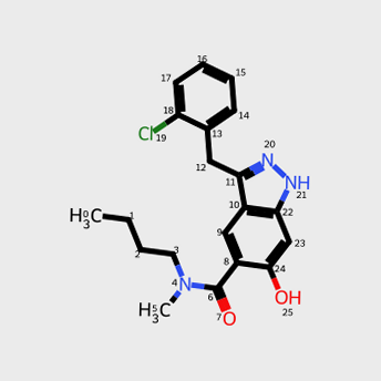 CCCCN(C)C(=O)c1cc2c(Cc3ccccc3Cl)n[nH]c2cc1O